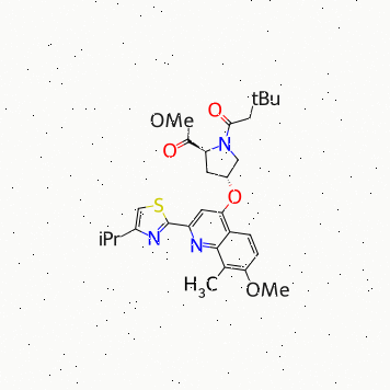 COC(=O)[C@@H]1C[C@@H](Oc2cc(-c3nc(C(C)C)cs3)nc3c(C)c(OC)ccc23)CN1C(=O)CC(C)(C)C